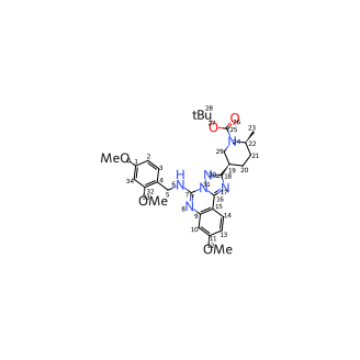 COc1ccc(CNc2nc3cc(OC)ccc3c3nc([C@@H]4CC[C@H](C)N(C(=O)OC(C)(C)C)C4)nn23)c(OC)c1